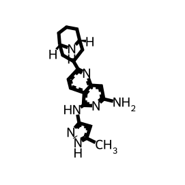 Cc1cc(Nc2nc(N)cc3nc(C4C[C@H]5CCC[C@@H](C4)N5)ccc23)n[nH]1